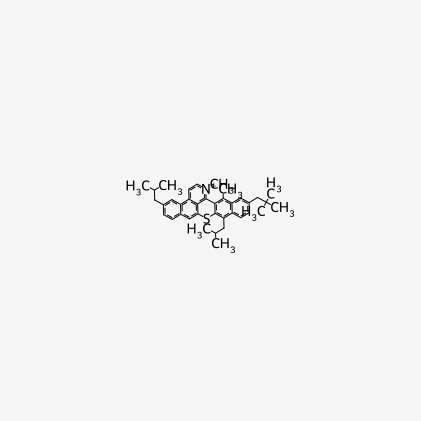 Cc1c2c(c(CC(C)C)c3ccc(CC(C)(C)C)cc13)Sc1cc3ccc(CC(C)C)cc3c3cc[n+](C)c-2c13